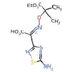 CCOC(=O)C(C)(C)O/N=C(\C(=O)O)c1nsc(N)n1